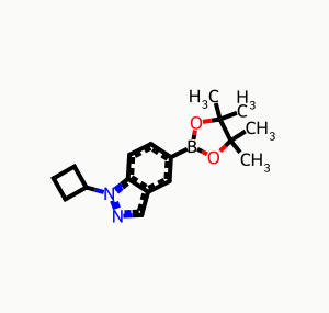 CC1(C)OB(c2ccc3c(cnn3C3CCC3)c2)OC1(C)C